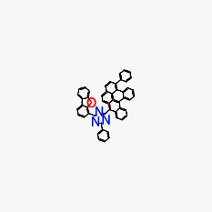 c1ccc(-c2nc(-c3ccc(-c4ccccc4-c4c(-c5ccccc5)ccc5ccccc45)c4ccccc34)nc(-c3cccc4c3oc3ccccc34)n2)cc1